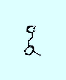 Fc1cccc(/C=C/c2cc[nH]n2)c1